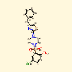 COc1ccc(Br)cc1S(=O)(=O)N1CCN(c2nc(Cc3ccccc3)cs2)CC1